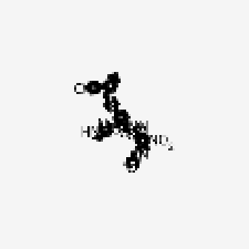 O=C(NS(=O)(=O)C1=CC2C(C=NN2CC2CCOCC2)C([N+](=O)[O-])=C1)c1ccc(N2CCN(CC3=C(c4ccc(Cl)cc4)CC4(CCC4)CC3)CC2)cc1Oc1cnc2[nH]ccc2c1